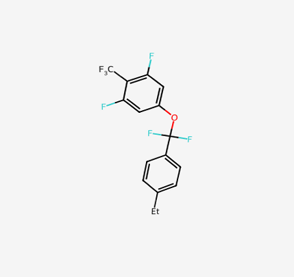 CCc1ccc(C(F)(F)Oc2cc(F)c(C(F)(F)F)c(F)c2)cc1